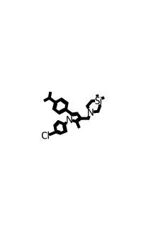 Cc1c(CN2CC[Si](C)(C)CC2)cc(-c2ccc(C(C)C)cc2)n1-c1ccc(Cl)cc1